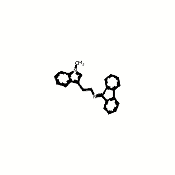 Cn1cc(CCN=C2c3ccccc3-c3ccccc32)c2ccccc21